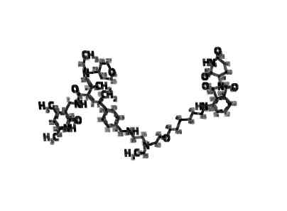 C=C(/C=C(C(=O)NCc1c(C)cc(C)[nH]c1=O)\C(C)=C\N(CC)C1CCOCC1)c1ccc(CNCCN(CC)CCOCCCCCCNc2cccc3c2C(=O)N(C2CCC(=O)NC2=O)C3=O)cc1